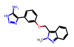 Cn1nc2ccccc2c1COc1cccc(-c2nn[nH]c2N)c1